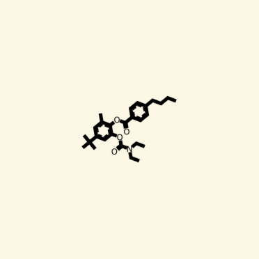 CCCCc1ccc(C(=O)Oc2c(C)cc(C(C)(C)C)cc2OC(=O)N(CC)CC)cc1